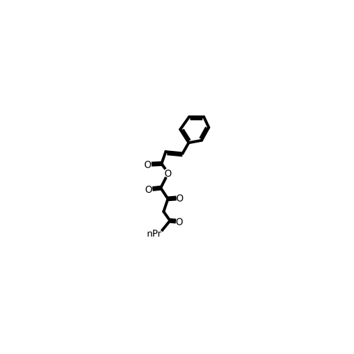 CCCC(=O)CC(=O)C(=O)OC(=O)/C=C/c1ccccc1